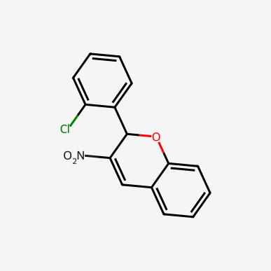 O=[N+]([O-])C1=Cc2ccccc2OC1c1ccccc1Cl